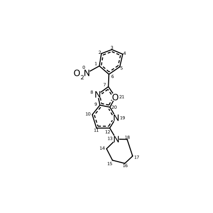 O=[N+]([O-])c1ccccc1-c1nc2ccc(N3CCCCC3)nc2o1